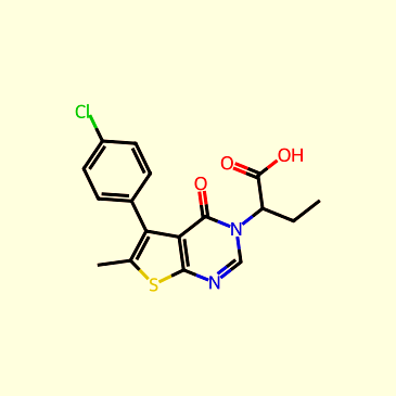 CCC(C(=O)O)n1cnc2sc(C)c(-c3ccc(Cl)cc3)c2c1=O